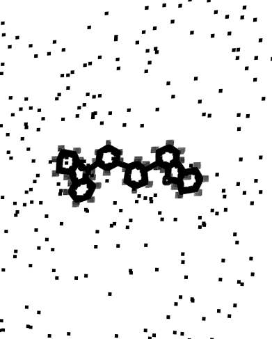 c1cc(-c2cccc(-n3c4ccccc4c4ccccc43)c2)cc(-c2cccc3c2oc2ccccc23)c1